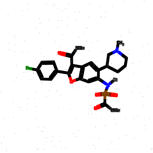 CCN(c1cc2oc(-c3ccc(F)cc3)c(C(=O)NC)c2cc1C1CCCN(C)C1)S(=O)(=O)C(=O)OC